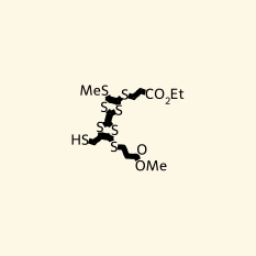 CCOC(=O)CCSC1=C(SC)S/C(=C2\SC(CS)=C(SCCC(=O)OC)S2)S1